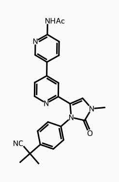 CC(=O)Nc1ccc(-c2ccnc(-c3cn(C)c(=O)n3-c3ccc(C(C)(C)C#N)cc3)c2)cn1